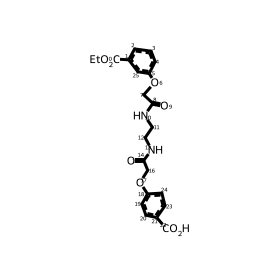 CCOC(=O)c1cccc(OCC(=O)NCCNC(=O)COc2ccc(C(=O)O)cc2)c1